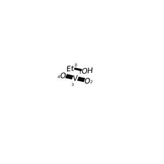 CCO.[O]=[V]=[O]